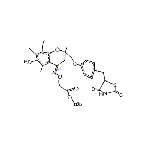 Cc1c(C)c2c(c(C)c1O)/C(=N/OCC(=O)OC(C)(C)C)CC(C)(COc1ccc(CC3SC(=O)NC3=O)cc1)O2